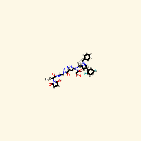 CC(C(=O)NCCNC(=O)C(N)CCN(C(=O)CO)C(c1cc(-c2cc(F)ccc2F)cn1Cc1ccccc1)C(C)(C)C)N1C(=O)C=CC1=O